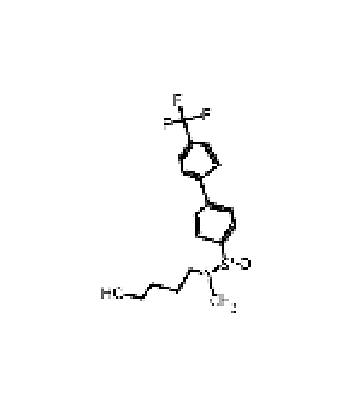 CN(CCCCO)[S+]([O-])c1ccc(-c2ccc(C(F)(F)F)cc2)cc1